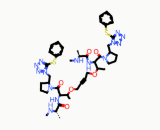 CN[C@@H](C)C(=O)NC(C(=O)N1CCCC1Cn1nnnc1Sc1ccccc1)C(C)OCC#CCOC(C)C(NC(=O)[C@H](C)NC)C(=O)N1CCCC1Cn1nnnc1Sc1ccccc1